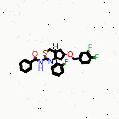 O=C(NC1=N[C@@]2(c3ccccc3F)C[C@@H](OCc3ccc(F)c(F)c3)C[C@H]2CS1)c1ccccc1